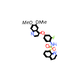 COc1cc2nccc(Oc3ccc(NS(=O)(=O)c4cccc5cccnc45)c(F)c3)c2cc1OC